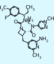 CC[C@@H](NC(=O)N1C[C@H](Cc2cc(C)nc(N)c2)[C@H]1C(=O)N(C)c1cnn(C)c1)c1ccc(C)c(F)c1